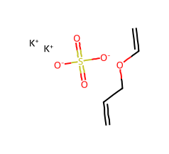 C=CCOC=C.O=S(=O)([O-])[O-].[K+].[K+]